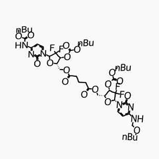 CCCCOCNc1ccn([C@@H]2O[C@H](COC(=O)CCCC(=O)OC[C@@H]3OC(n4ccc(NC(=O)OCCCC)nc4=O)C(F)(F)[C@H]3OC(=O)OCCCC)[C@@H](OC(=O)OCCCC)C2(F)F)c(=O)n1